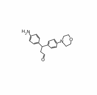 Nc1ccc(C(CC=O)c2ccc(N3CCOCC3)cc2)cc1